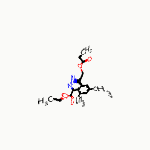 CCOC(=O)c1nnc(COC(=O)CC)c2cc(C)cc(C)c12